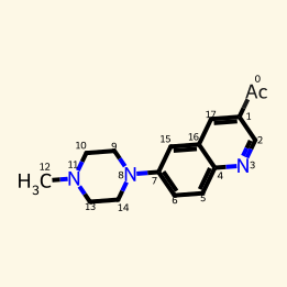 CC(=O)c1cnc2ccc(N3CCN(C)CC3)cc2c1